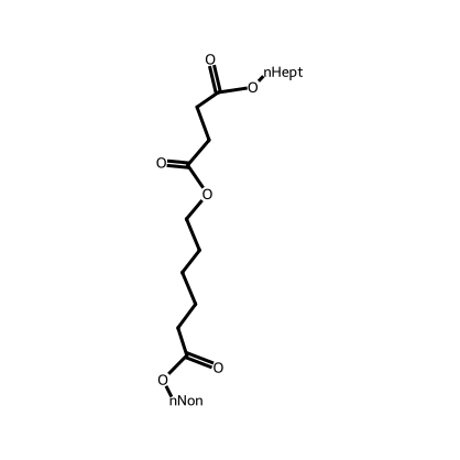 CCCCCCCCCOC(=O)CCCCCOC(=O)CCC(=O)OCCCCCCC